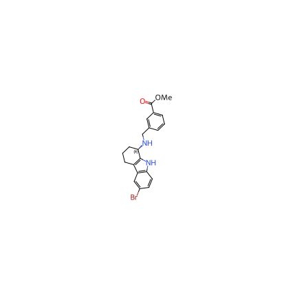 COC(=O)c1cccc(CN[C@@H]2CCCc3c2[nH]c2ccc(Br)cc32)c1